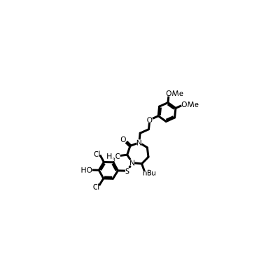 CCCCC1CCN(CCOc2ccc(OC)c(OC)c2)C(=O)C(C)N1Sc1cc(Cl)c(O)c(Cl)c1